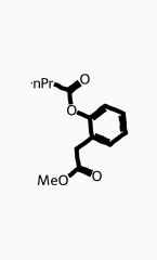 CC[CH]C(=O)Oc1ccccc1CC(=O)OC